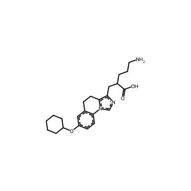 NCCCC(Cc1ncn2c1CCc1cc(OC3CCCCC3)ccc1-2)C(=O)O